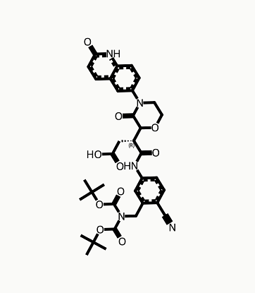 CC(C)(C)OC(=O)N(Cc1cc(NC(=O)[C@H](CC(=O)O)C2OCCN(c3ccc4[nH]c(=O)ccc4c3)C2=O)ccc1C#N)C(=O)OC(C)(C)C